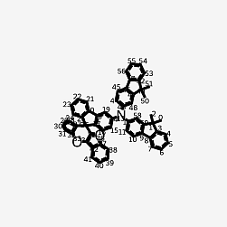 CC1(C)c2ccccc2-c2ccc(N(c3ccc4c(c3)-c3ccccc3C43c4ccccc4Oc4c3oc3ccccc43)c3ccc4c(c3)C(C)(C)c3ccccc3-4)cc21